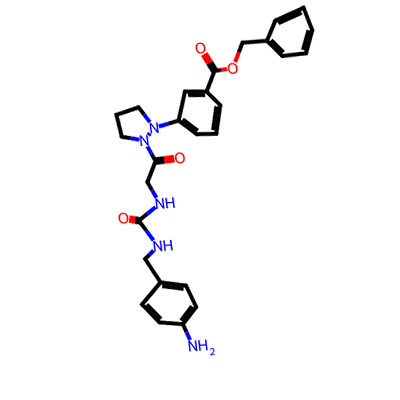 Nc1ccc(CNC(=O)NCC(=O)N2CCCN2c2cccc(C(=O)OCc3ccccc3)c2)cc1